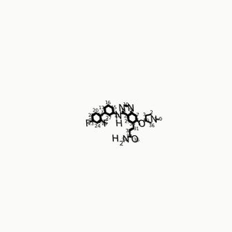 CN1CC[C@@H](Oc2cc3ncnc(Nc4cccc(-c5ccc(F)cc5F)c4)c3cc2C=CC(N)=O)C1